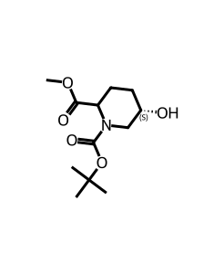 COC(=O)C1CC[C@H](O)CN1C(=O)OC(C)(C)C